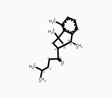 Cc1cccc2c1C1(C)CC3(C(=O)CCC(C)C)N1[C@]23C